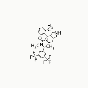 Cc1ccccc1C1C2CNCC2CCN1C(=O)N(C)C(C)c1cc(C(F)(F)F)cc(C(F)(F)F)c1